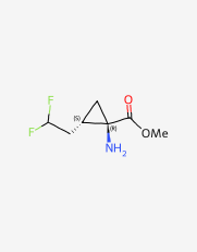 COC(=O)[C@@]1(N)C[C@H]1CC(F)F